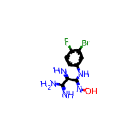 N=C(N)C(=N)/C(=N/O)Nc1ccc(F)c(Br)c1